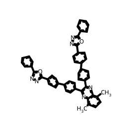 Cc1ccc(C)c2nc(-c3ccc(-c4ccc(-c5nnc(-c6ccccc6)o5)cc4)cc3)c(-c3ccc(-c4ccc(-c5nnc(-c6ccccc6)o5)cc4)cc3)nc12